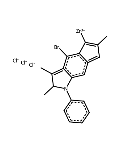 CC1=[C]([Zr+3])c2c(Br)c3c(cc2=C1)N(c1ccccc1)C(C)C=3C.[Cl-].[Cl-].[Cl-]